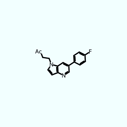 CC(=O)CCn1ccc2ncc(-c3ccc(F)cc3)cc21